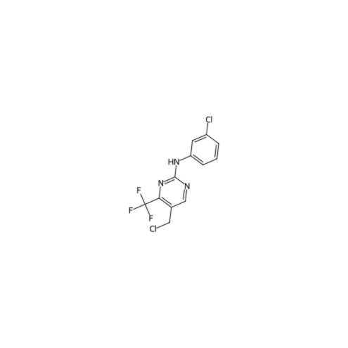 FC(F)(F)c1nc(Nc2cccc(Cl)c2)ncc1CCl